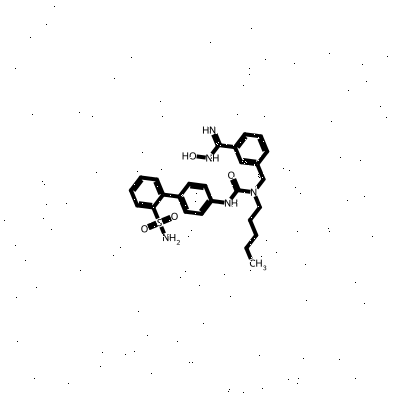 CCCCCN(Cc1cccc(C(=N)NO)c1)C(=O)Nc1ccc(-c2ccccc2S(N)(=O)=O)cc1